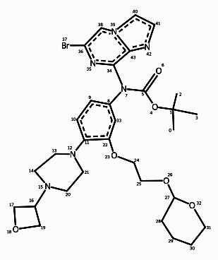 CC(C)(C)OC(=O)N(c1ccc(N2CCN(C3COC3)CC2)c(OCCOC2CCCCO2)c1)c1nc(Br)cn2ccnc12